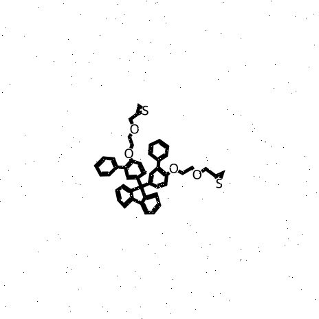 c1ccc(-c2cc(C3(c4ccc(OCCOCC5CS5)c(-c5ccccc5)c4)c4ccccc4-c4ccccc43)ccc2OCCOCC2CS2)cc1